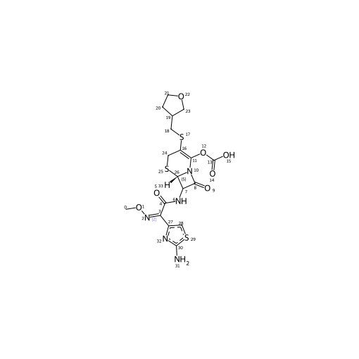 CO/N=C(\C(=O)NC1C(=O)N2C(OC(=O)O)=C(SCC3CCOC3)CS[C@@H]12)c1csc(N)n1